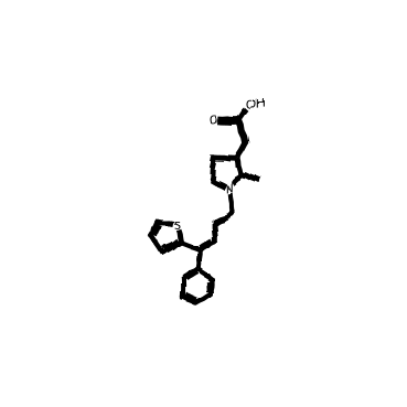 CC1C(CC(=O)O)CCN1CCC=C(c1ccccc1)c1cccs1